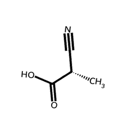 C[C@@H](C#N)C(=O)O